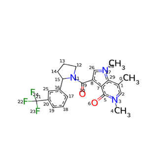 Cc1cn(C)c(=O)c2c(C(=O)N3CCCC3c3cccc(C(F)(F)F)c3)cn(C)c12